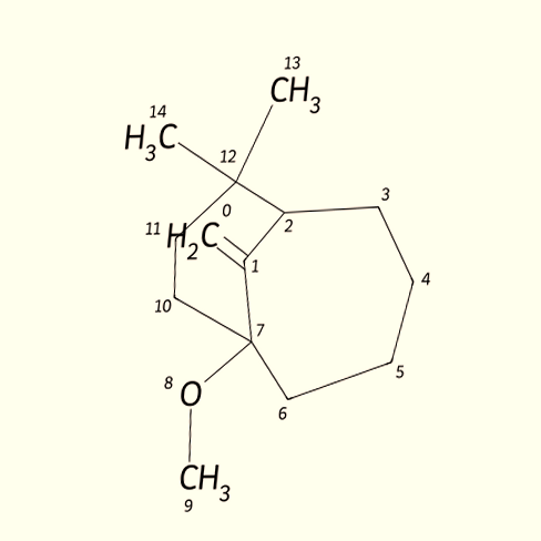 C=C1C2CCCCC1(OC)CCC2(C)C